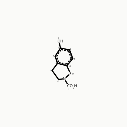 O=C(O)N1CCc2cc(O)ccc2S1